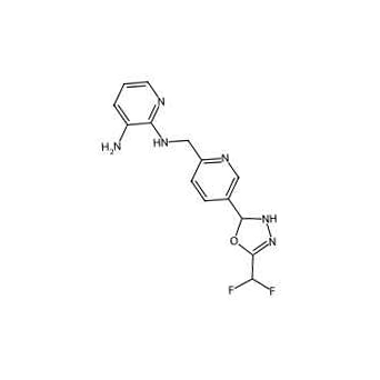 Nc1cccnc1NCc1ccc(C2NN=C(C(F)F)O2)cn1